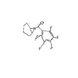 O=C(c1c(F)c(F)c(F)c(F)c1F)N1C2CCCCC21